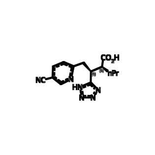 CCC[C@H](C(=O)O)[C@H](Cc1ccc(C#N)cn1)c1nnn[nH]1